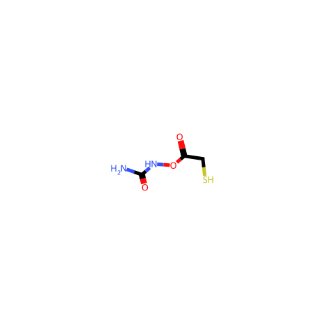 NC(=O)NOC(=O)CS